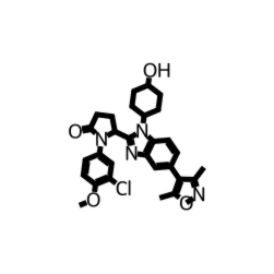 COc1ccc(N2C(=O)CCC2c2nc3cc(-c4c(C)noc4C)ccc3n2C2CCC(O)CC2)cc1Cl